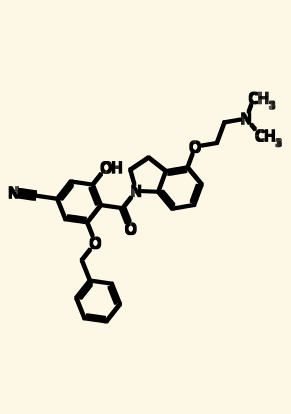 CN(C)CCOc1cccc2c1CCN2C(=O)c1c(O)cc(C#N)cc1OCc1ccccc1